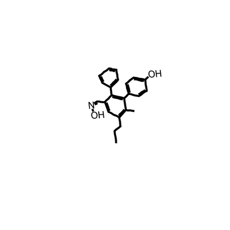 CCCc1cc(/C=N\O)c(-c2ccccc2)c(-c2ccc(O)cc2)c1C